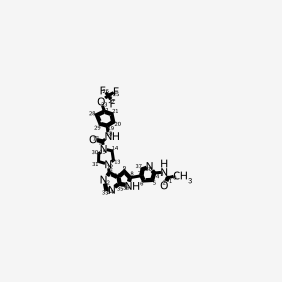 CC(=O)Nc1ccc(-c2cc3c(N4CCN(C(=O)Nc5ccc(OC(F)(F)F)cc5)CC4)ncnc3[nH]2)cn1